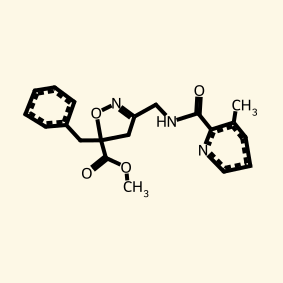 COC(=O)C1(Cc2ccccc2)CC(CNC(=O)c2ncccc2C)=NO1